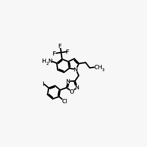 CCCc1cc2c(C(F)(F)F)c(N)ccc2n1Cc1noc(-c2cc(I)ccc2Cl)n1